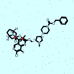 CN1C[C@@H](N2CCN(C(=O)OCc3ccccc3)CC2)C[C@H]1COc1nc(N2C[C@H]3CC[C@@H](C2)N3C(=O)OC(C)(C)C)c2cnc(Cl)c(F)c2n1